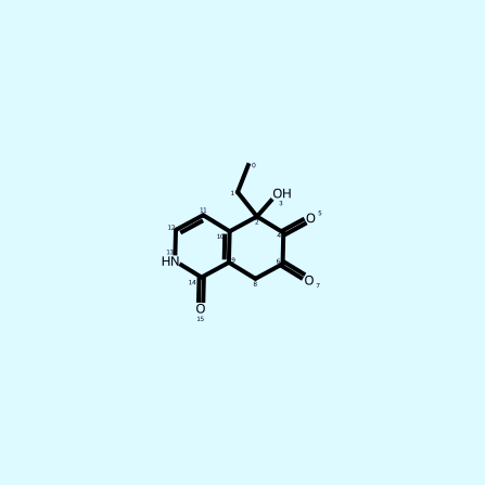 CCC1(O)C(=O)C(=O)Cc2c1cc[nH]c2=O